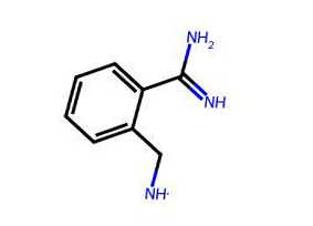 [NH]Cc1ccccc1C(=N)N